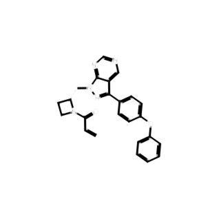 C=CC(=O)N1CC[C@@H]1Cn1nc(-c2ccc(Oc3ccccc3)cc2)c2cncnc21